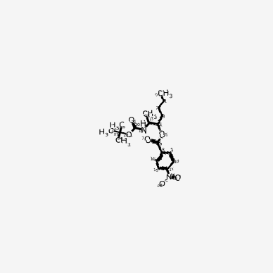 CCCCC(OC(=O)c1ccc([N+](=O)[O-])cc1)C(C)NC(=O)OC(C)(C)C